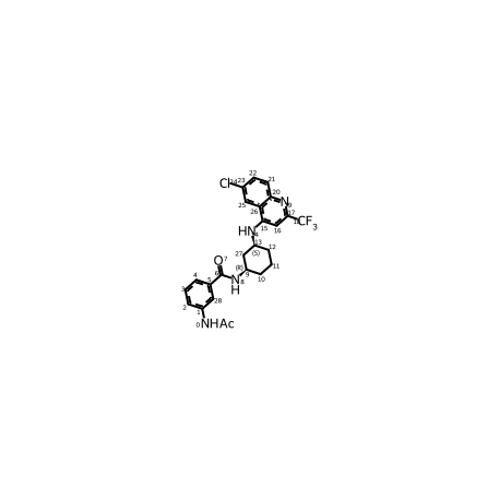 CC(=O)Nc1cccc(C(=O)N[C@@H]2CCC[C@H](Nc3cc(C(F)(F)F)nc4ccc(Cl)cc34)C2)c1